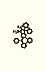 CC1=C(C)C(c2ccccn2)(c2ccccn2)c2cc3c(cc21)N(c1ccccc1)c1ccccc1-c1ccccc1-3